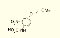 COCCOc1ccc(NC(=O)O)c([N+](=O)[O-])c1